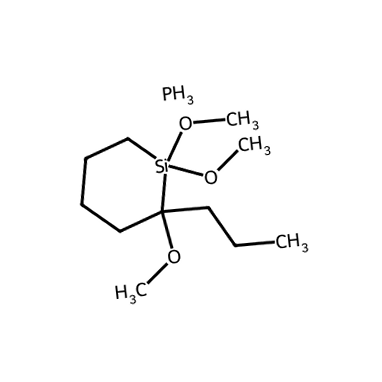 CCCC1(OC)CCCC[Si]1(OC)OC.P